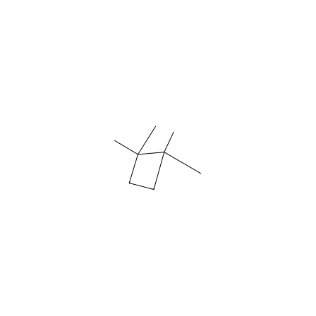 CC1(C)CCC1(C)C